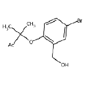 CC(=O)C(C)(C)Oc1ccc(Br)cc1CO